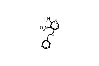 Nc1nccc(SCc2ccccc2)c1[N+](=O)[O-]